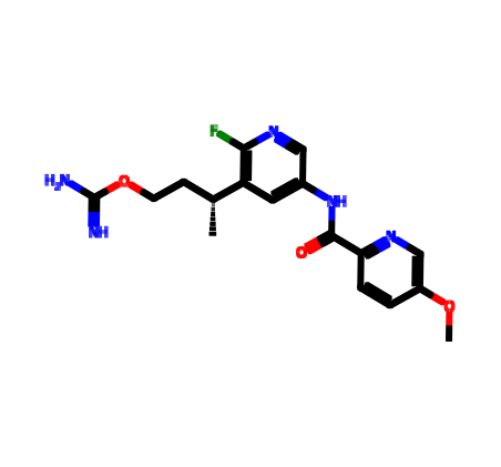 COc1ccc(C(=O)Nc2cnc(F)c([C@H](C)CCOC(=N)N)c2)nc1